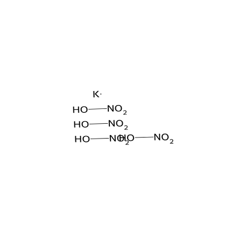 O=[N+]([O-])O.O=[N+]([O-])O.O=[N+]([O-])O.O=[N+]([O-])O.[K]